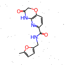 Cc1ccc(CNC(=O)c2ccc3c(n2)NC(=O)CO3)o1